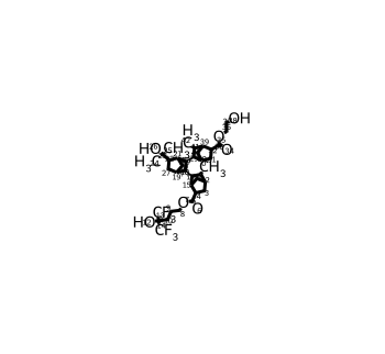 CC1C2CC(C(=O)OCCCC(O)(C(F)(F)F)C(F)(F)F)C(C2)C1[C@H]1C2CC(C(C(C)(C)O)C2)[C@H]1C1C2CC(C(=O)OCCO)C(C2)C1C